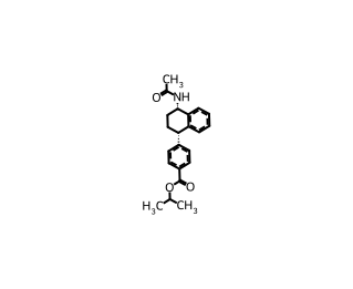 CC(=O)N[C@H]1CC[C@@H](c2ccc(C(=O)OC(C)C)cc2)c2ccccc21